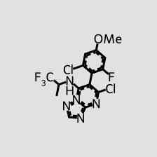 COc1cc(F)c(-c2c(Cl)nc3ncnn3c2NC(C)C(F)(F)F)c(Cl)c1